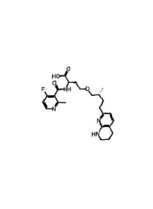 Cc1nccc(F)c1C(=O)N[C@H](CCOC[C@H](C)CCc1ccc2c(n1)NCCC2)C(=O)O